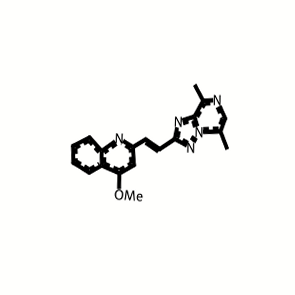 COc1cc(C=Cc2nc3c(C)ncc(C)n3n2)nc2ccccc12